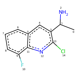 CC(N)c1cc2cccc(F)c2nc1Cl